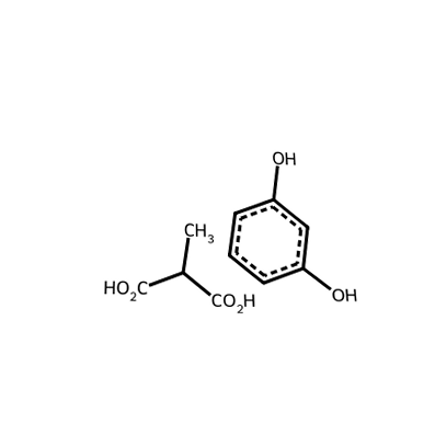 CC(C(=O)O)C(=O)O.Oc1cccc(O)c1